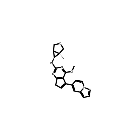 COc1nc(N[C@H]2C3COC[C@]32C)nc2c1C(c1ccn3nccc3c1)=CC2